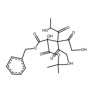 CC(O)C(=O)C(C(=O)CO)(C(=O)CO)C(O)(C(=O)OCc1ccccc1)C(=O)OC(C)(C)C